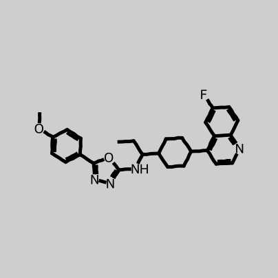 CCC(Nc1nnc(-c2ccc(OC)cc2)o1)C1CCC(c2ccnc3ccc(F)cc23)CC1